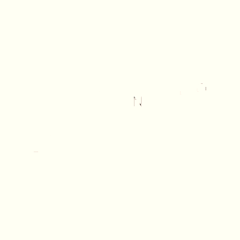 O=C1CCN(C2Cc3ccc(F)c4cccc2c34)CC1